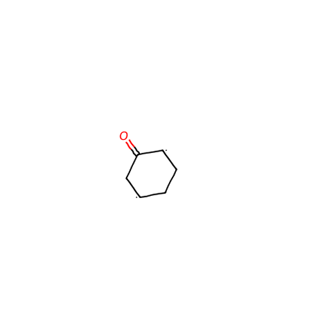 O=C1[CH]CC[CH]C1